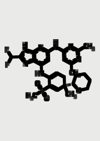 Cc1cc(Nc2cc(NC3=CCC(C)([C@@H]4CCCCO4)C=C3S(C)(=O)=O)c3nc(C(F)F)[nH]c3n2)nc(C)n1